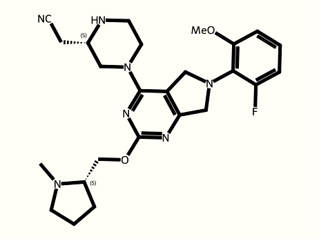 COc1cccc(F)c1N1Cc2nc(OC[C@@H]3CCCN3C)nc(N3CCN[C@@H](CC#N)C3)c2C1